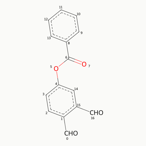 O=Cc1ccc(OC(=O)c2ccccc2)cc1C=O